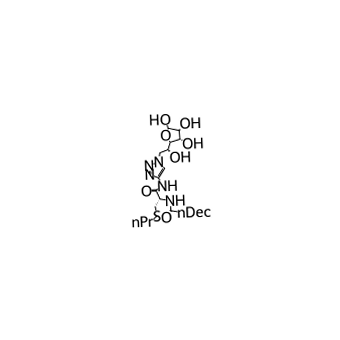 [CH2][CH]CSC[C@@H](NC(=O)CCCCCCCCCC)C(=O)Nc1cn(C[C@H](O)C2OC(O)[C@@H](O)[C@@H]2O)nn1